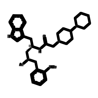 COc1ccccc1CN(C[C@H](Cc1c[nH]c2ccccc12)NC(=O)CN1CCC(N2CCCCC2)CC1)C(C)=O